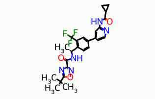 C[C@@H](NC(=O)c1noc(C(C)(C)C)n1)c1ccc(-c2ccnc(NC(=O)C3CC3)c2)cc1C(F)(F)F